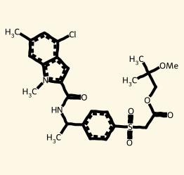 COC(C)(C)COC(=O)CS(=O)(=O)c1ccc(C(C)NC(=O)c2cc3c(Cl)cc(C)cc3n2C)cc1